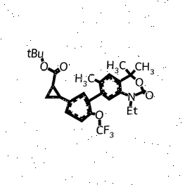 CCN1C(=O)OC(C)(C)c2cc(C)c(-c3cc(C4CC4C(=O)OC(C)(C)C)ccc3OC(F)(F)F)cc21